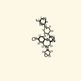 Cc1cncc(N2CCC(c3nnc4n3-c3ccc(Cl)cc3CN([C@H]3CCOC3)C4)CC2)n1